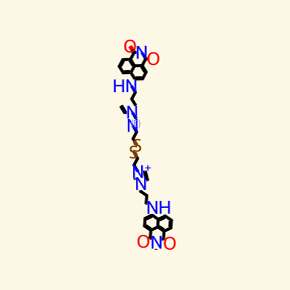 C=CN(/C=N/CCSSCC[n+]1ccn(CCCNc2ccc3c4c(cccc24)C(=O)N(C)C3=O)c1)CCCNc1ccc2c3c(cccc13)C(=O)N(C)C2=O